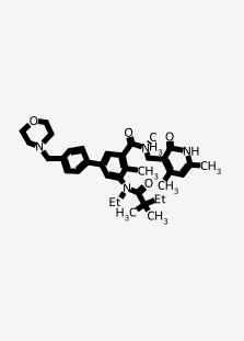 CCN(C(=O)C(C)(C)CC)c1cc(-c2ccc(CN3CCOCC3)cc2)cc(C(=O)N(C)Cc2c(C)cc(C)[nH]c2=O)c1C